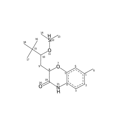 Cc1ccc2c(c1)OC(CC(O[SiH](C)C)C(C)(C)C)C(=O)N2